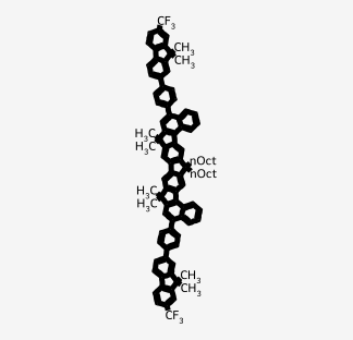 CCCCCCCCC1(CCCCCCCC)c2cc3c(cc2-c2cc4c(cc21)-c1c(cc(-c2ccc(-c5ccc6c(c5)C(C)(C)c5cc(C(F)(F)F)ccc5-6)cc2)c2ccccc12)C4(C)C)C(C)(C)c1cc(-c2ccc(-c4ccc5c(c4)C(C)(C)c4cc(C(F)(F)F)ccc4-5)cc2)c2ccccc2c1-3